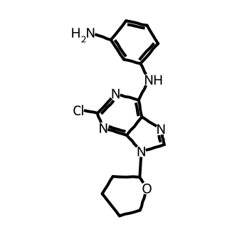 Nc1cccc(Nc2nc(Cl)nc3c2ncn3C2CCCCO2)c1